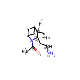 BC(=O)N1C2CC(C2)[C@@H](C)[C@H]1CBN